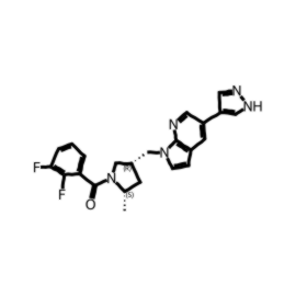 C[C@H]1C[C@@H](Cn2ccc3cc(-c4cn[nH]c4)cnc32)CN1C(=O)c1cccc(F)c1F